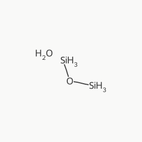 O.[SiH3]O[SiH3]